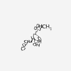 CCCC(CCC1CC[C@@H]2[C@@H](C=C[C@@H](O)COc3ccccc3)[C@H](O)C[C@H]2OC1)C(=O)O